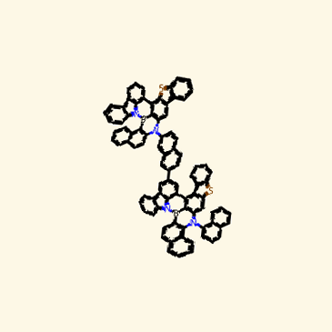 c1ccc2c(N3c4cc5sc6ccccc6c5c5c4B(c4ccc6ccccc6c43)n3c4ccccc4c4cc(-c6ccc7ccc(N8c9cc%10c(sc%11ccccc%11%10)c%10c9B(c9c8ccc8ccccc98)n8c9ccccc9c9cccc-%10c98)cc7c6)cc-5c43)cccc2c1